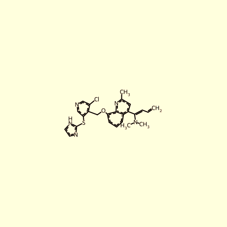 C=C/C=C(/c1cc(C)nc2c(OCc3c(Cl)cncc3Sc3ncc[nH]3)cccc12)N(C)C